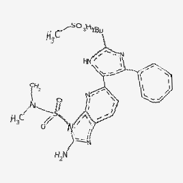 CN(C)S(=O)(=O)n1c(N)nc2ccc(-c3[nH]c(C(C)(C)C)nc3-c3ccccc3)nc21.CS(=O)(=O)O